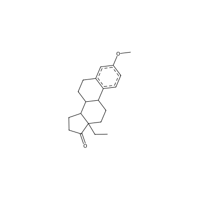 CCC12CCC3c4ccc(OC)cc4CCC3C1CCC2=O